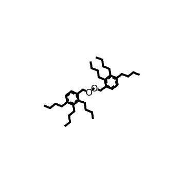 CCCCc1ccc(COOCc2ccc(CCCC)c(CCCC)c2CCCC)c(CCCC)c1CCCC